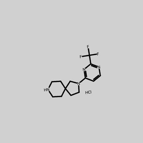 Cl.FC(F)(F)c1nccc(N2CCC3(CCNCC3)C2)n1